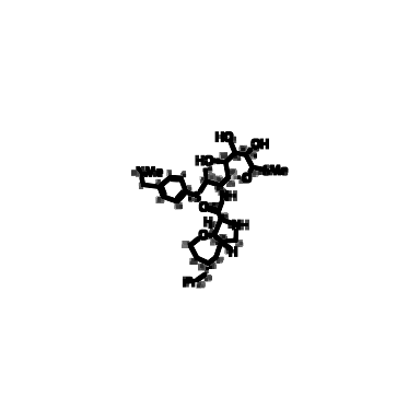 CNCc1ccc(S[C@@H](C)[C@@H](NC(=O)[C@H]2NC[C@@H]3C[C@H](CC(C)C)CCO[C@H]32)[C@H]2OC(SC)[C@H](O)C(O)C2O)cc1